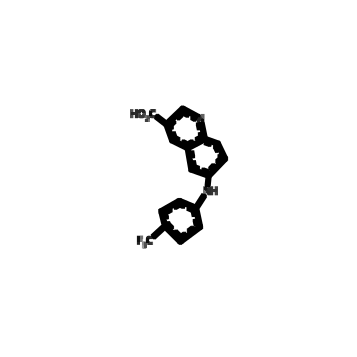 O=C(O)c1cnc2ccc(Nc3ccc(C(F)(F)F)cc3)cc2c1